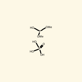 COP(O)OC.O=P(O)(O)O